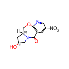 O=C1c2cc([N+](=O)[O-])cnc2OC[C@H]2C[C@H](O)CN12